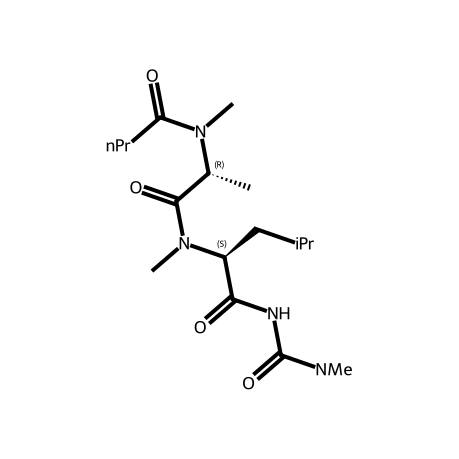 CCCC(=O)N(C)[C@H](C)C(=O)N(C)[C@@H](CC(C)C)C(=O)NC(=O)NC